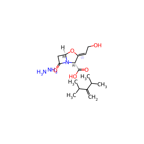 C=C(C(C)C)C(C)C.N.N.O=C(O)[C@H]1/C(=C/CO)O[C@@H]2CC(=O)N21